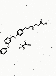 O=C(O)C(F)(F)F.O=C(O)CCNCCCc1ccc(OCc2cccc(Oc3ccccc3)c2)cc1